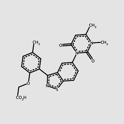 Cc1ccc(OCC(=O)O)c(-c2nsc3ccc(-n4c(=O)cc(C)n(C)c4=O)cc23)c1